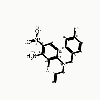 C=CCN(Cc1ccc(F)cc1)c1ccc([N+](=O)[O-])c(N)c1F